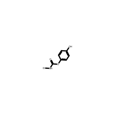 CCNC(=O)Oc1ccc(O)cc1